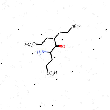 CCCCCCCCCCCCC(CCC(=O)O)C(=O)C(N)CCC(=O)O